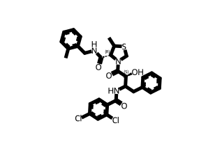 Cc1ccccc1CNC(=O)[C@@H]1C(C)SCN1C(=O)[C@@H](O)C(Cc1ccccc1)NC(=O)c1ccc(Cl)cc1Cl